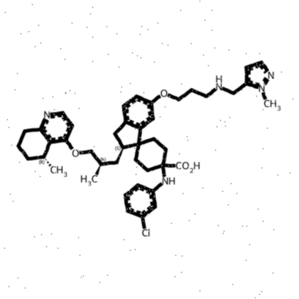 C[C@@H](COc1ccnc2c1[C@H](C)CCC2)C[C@H]1Cc2ccc(OCCCNCc3ccnn3C)cc2C12CCC(Nc1cccc(Cl)c1)(C(=O)O)CC2